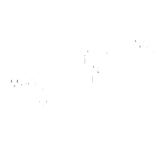 COC(=O)c1ccc(C(=O)Nc2ccc([N+](=O)[O-])cc2)cc1